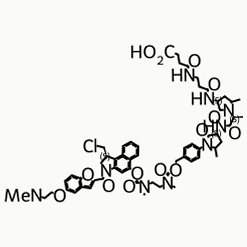 CNCCOc1ccc2oc(C(=O)N3C[C@@H](CCl)c4c3cc(OC(=O)N(C)CCN(C)C(=O)OCc3ccc(N5C(=O)[C@@H](NC(=O)[C@H](C)N6C(=O)[C@@H](NC(=O)CCNC(=O)CCC(=O)O)CC6C)CC5C)cc3)c3ccccc43)cc2c1